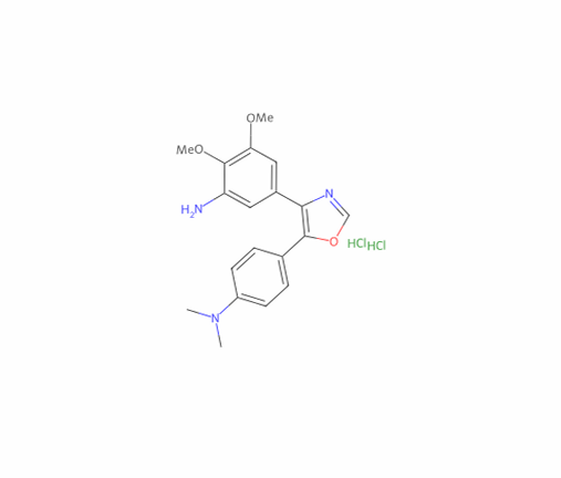 COc1cc(-c2ncoc2-c2ccc(N(C)C)cc2)cc(N)c1OC.Cl.Cl